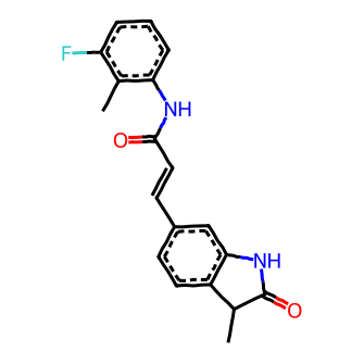 Cc1c(F)cccc1NC(=O)C=Cc1ccc2c(c1)NC(=O)C2C